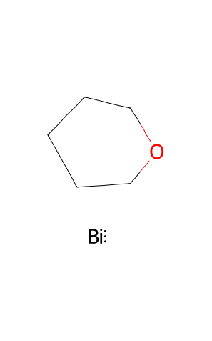 C1CCOCC1.[Bi]